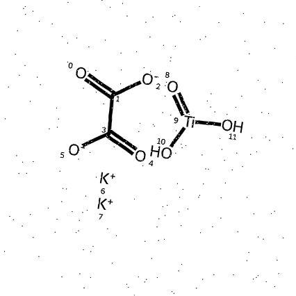 O=C([O-])C(=O)[O-].[K+].[K+].[O]=[Ti]([OH])[OH]